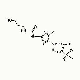 Cc1nc(NC(=O)NCCCO)sc1-c1ccc(S(C)(=O)=O)c(F)c1